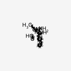 CCCCOc1nc(N)c2[nH]cc(Cc3ccc(CN4CCCC4)cn3)c2n1.O=CO